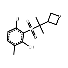 Cc1ccc(Cl)c(S(=O)(=O)C(C)(C)C2COC2)c1O